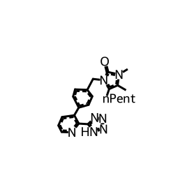 CCCCCc1c(C)n(C)c(=O)n1Cc1ccc(-c2cccnc2-c2nnn[nH]2)cc1